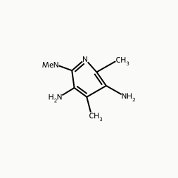 CNc1nc(C)c(N)c(C)c1N